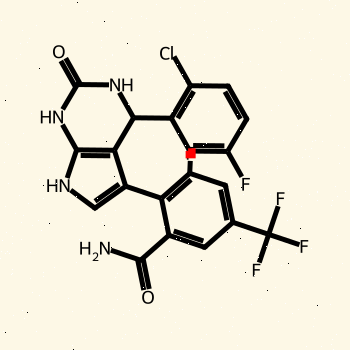 NC(=O)c1cc(C(F)(F)F)cc(F)c1-c1c[nH]c2c1C(c1cc(F)ccc1Cl)NC(=O)N2